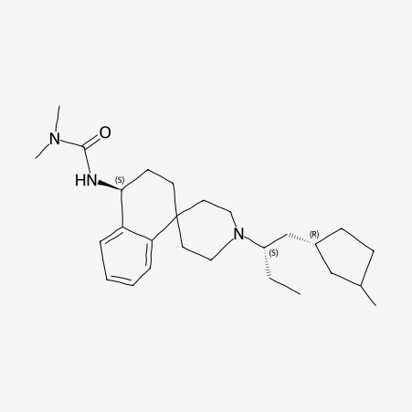 CC[C@@H](C[C@@H]1CCC(C)C1)N1CCC2(CC[C@H](NC(=O)N(C)C)c3ccccc32)CC1